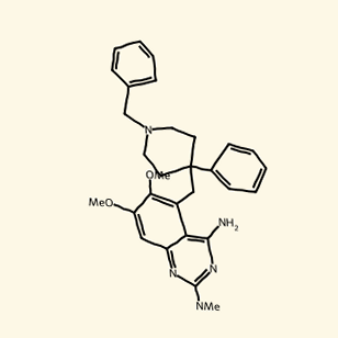 CNc1nc(N)c2c(CC3(c4ccccc4)CCN(Cc4ccccc4)CC3)c(OC)c(OC)cc2n1